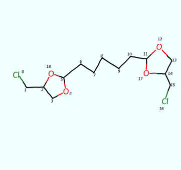 ClCC1COC(CCCCCC2OCC(CCl)O2)O1